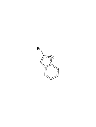 Brc1cc2ccccc2[se]1